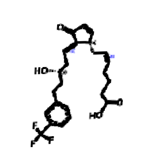 O=C(O)CCC/C=C\C[C@H]1C=CC(=O)/C1=C/C[C@@H](O)CCc1cccc(C(F)(F)F)c1